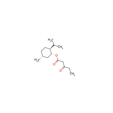 CCC(=O)CC(=O)O[C@@H]1C[C@H](C)CC[C@H]1C(C)C